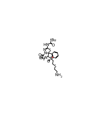 CC(C)(C)C(=O)NC1=NN(C(=O)C(C)(C)C)C(c2ccccc2)(C(N)S(=O)(=O)CCSCCN)S1